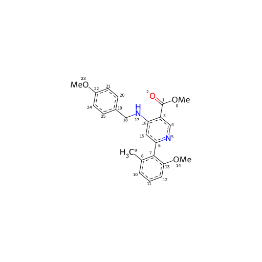 COC(=O)c1cnc(-c2c(C)cccc2OC)cc1NCc1ccc(OC)cc1